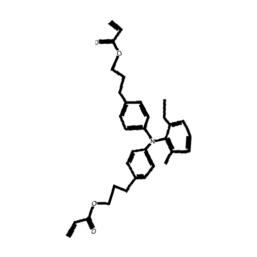 C=CC(=O)OCCCc1ccc(N(c2ccc(CCCOC(=O)C=C)cc2)c2c(C)cccc2CC)cc1